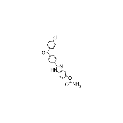 NC(=O)Oc1ccc2[nH]c(-c3ccc(C(=O)c4ccc(Cl)cc4)cc3)nc2c1